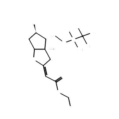 CCOC(=O)/C=C1\C[C@H]2C(C[C@@H](O)[C@@H]2CO[Si](C)(C)C(C)(C)C)O1